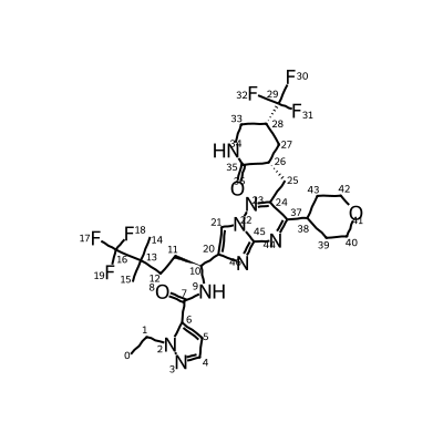 CCn1nccc1C(=O)N[C@@H](CCC(C)(C)C(F)(F)F)c1cn2nc(C[C@H]3C[C@@H](C(F)(F)F)CNC3=O)c(C3CCOCC3)nc2n1